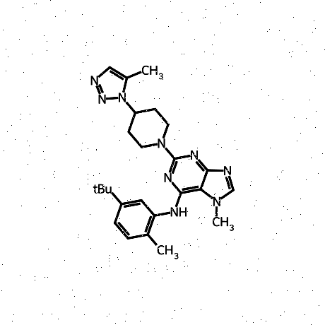 Cc1ccc(C(C)(C)C)cc1Nc1nc(N2CCC(n3nncc3C)CC2)nc2ncn(C)c12